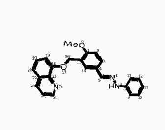 COc1ccc(/C=N/Nc2ccccc2)cc1COc1cccc2cccnc12